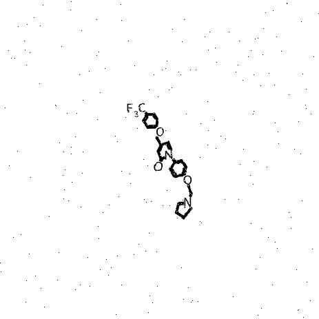 O=c1cc(COc2ccc(C(F)(F)F)cc2)ccn1-c1ccc(OCCN2CCCC2)cc1